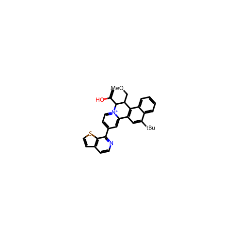 C=C(O)C1C(COC)c2c(cc(C(C)(C)C)c3ccccc23)-c2cc(-c3nccc4ccsc34)cc[n+]21